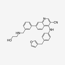 N#Cc1cnc2cc(-c3cccc(CNCCO)c3)ccc2c1Nc1ccc(Cc2ccoc2)cc1